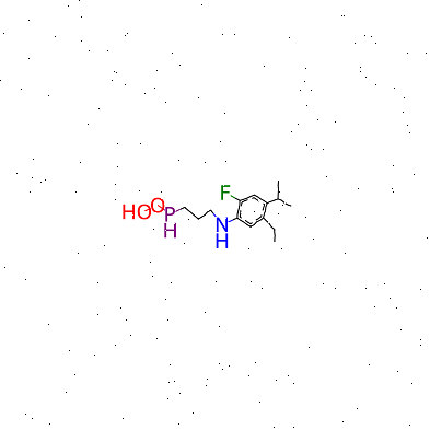 CCc1cc(NCCCPOO)c(F)cc1C(C)C